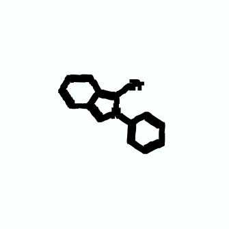 CC(C)c1c2ccccc2cn1-c1ccccc1